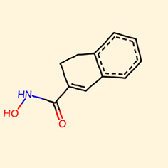 O=C(NO)C1=Cc2ccccc2CC1